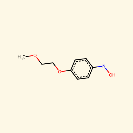 COCCOc1ccc(NO)cc1